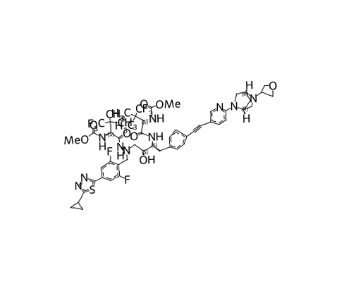 COC(=O)N[C@H](C(=O)N[C@@H](Cc1ccc(C#Cc2ccc(N3C[C@H]4C[C@@H]3CN4C3COC3)nc2)cc1)[C@@H](O)CN(Cc1c(F)cc(-c2nnc(C3CC3)s2)cc1F)NC(=O)[C@@H](NC(=O)OC)C(C)(C)C(F)(F)F)C(C)(C)C(F)(F)F